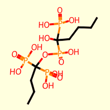 CCCCC(O)(P(=O)(O)O)P(=O)(O)OC(CCC)(P(=O)(O)O)P(=O)(O)O